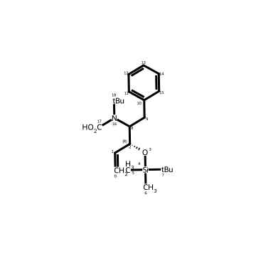 C=C[C@@H](O[Si](C)(C)C(C)(C)C)C(Cc1ccccc1)N(C(=O)O)C(C)(C)C